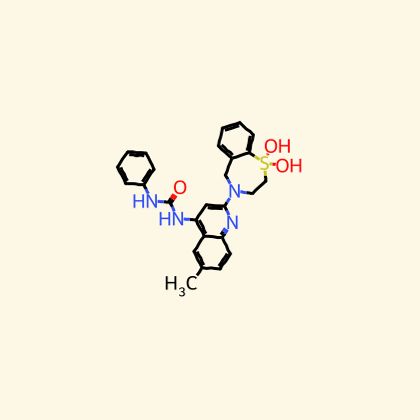 Cc1ccc2nc(N3CCS(O)(O)c4ccccc4C3)cc(NC(=O)Nc3ccccc3)c2c1